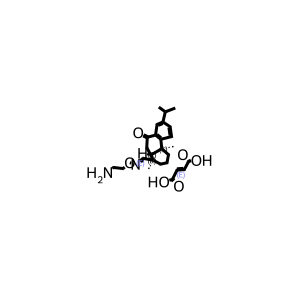 CC(C)c1ccc2c(c1)C(=O)C[C@H]1[C@](C)(/C=N/OCCN)CCC[C@]21C.O=C(O)/C=C/C(=O)O